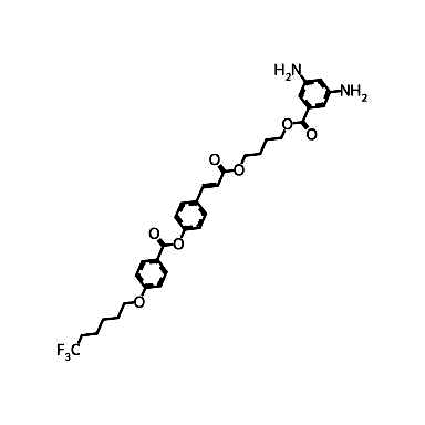 Nc1cc(N)cc(C(=O)OCCCCOC(=O)/C=C/c2ccc(OC(=O)c3ccc(OCCCCCC(F)(F)F)cc3)cc2)c1